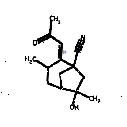 CC(=O)/C=C1\C(C)CC2CC1(C#N)CC2(C)O